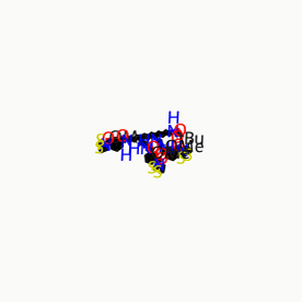 COc1c(C(=O)NCCCC(CCCC(CCCCNC(=O)OC(C)(C)C)NCCNC(=O)c2cccc(C(=O)N3CCSC3=S)c2OC)CCNC(=O)c2cccc(C(=O)N3CCSC3=S)c2OC)cccc1C(=O)N1CCSC1=S